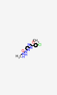 CCNC(=O)Nc1ccc2ncc(-c3ccc(Cl)cc3OC)nc2n1